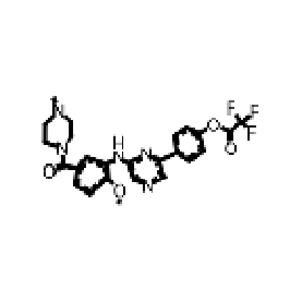 COc1ccc(C(=O)N2CCN(C)CC2)cc1Nc1cncc(-c2ccc(OC(=O)C(F)(F)F)cc2)n1